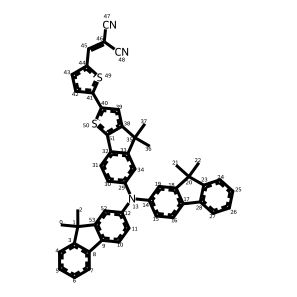 CC1(C)c2ccccc2-c2ccc(N(c3ccc4c(c3)C(C)(C)c3ccccc3-4)c3ccc4c(c3)C(C)(C)c3cc(-c5ccc(C=C(C#N)C#N)s5)sc3-4)cc21